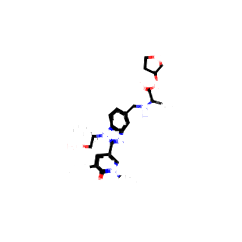 Cc1cc(-c2nc3cc(CNC(C(=O)OC4CCOC4)C(C)C)ccc3n2[C@H](C)CO)cn(C)c1=O